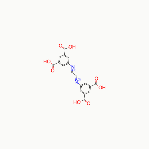 O=C(O)c1cc(/N=C/C=N/c2cc(C(=O)O)cc(C(=O)O)c2)cc(C(=O)O)c1